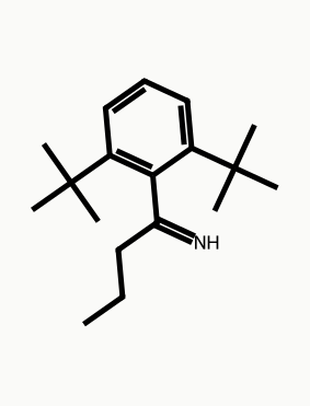 CCCC(=N)c1c(C(C)(C)C)cccc1C(C)(C)C